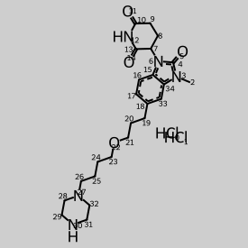 Cl.Cl.Cn1c(=O)n(C2CCC(=O)NC2=O)c2ccc(CCCOCCCCN3CCNCC3)cc21